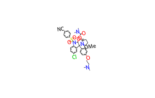 COc1cc(OCCN(C)C)ccc1C1(N2CCC[C@@H]2OC(=O)N(C)C)C(=O)N(S(=O)(=O)c2ccc(C#N)cc2)c2ccc(Cl)cc21